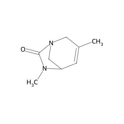 CC1=CC2CN(C1)C(=O)N2C